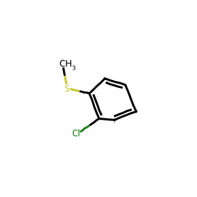 CSc1ccc[c]c1Cl